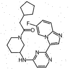 O=C(CC1CCCC1)N1CCCC(Nc2ccnc(-c3cnc4ccc(F)cn34)n2)C1